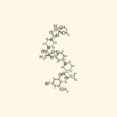 Cc1cc(Br)ccc1CN(C(=O)[C@@H]1CCCN(c2cccc(OC(C)(C)C(=O)N3CCN(C(=O)OC(C)(C)C)CC3)c2)C1)C1CC1